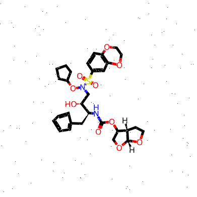 O=C(N[C@@H](Cc1ccccc1)[C@H](O)CN(OC1CCCC1)S(=O)(=O)c1ccc2c(c1)OCCO2)OC1CO[C@H]2OCC[C@@H]12